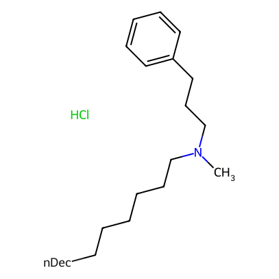 CCCCCCCCCCCCCCCCN(C)CCCc1ccccc1.Cl